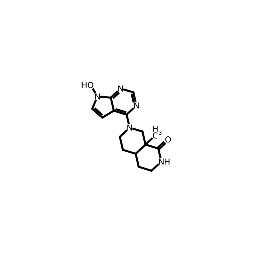 CC12CN(c3ncnc4c3ccn4O)CCC1CCNC2=O